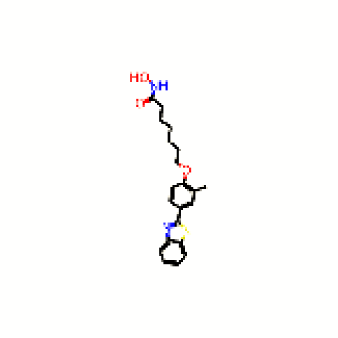 Cc1cc(-c2nc3ccccc3s2)ccc1OCCCCCCC(=O)NO